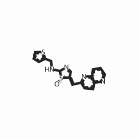 [O-][S+]1C(=Cc2ccc3ncccc3n2)C=NC1NCc1cccs1